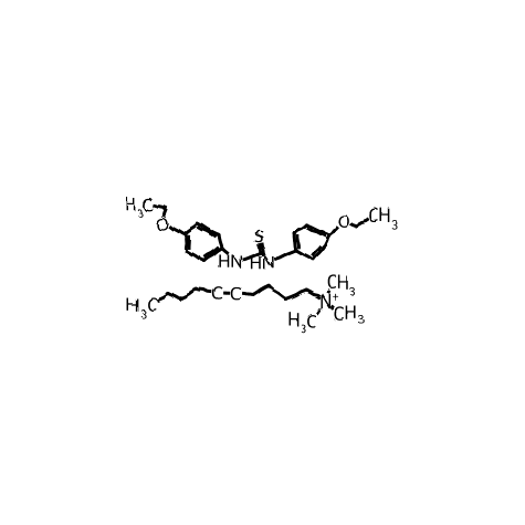 CCCCCCCCCC[N+](C)(C)C.CCOc1ccc(NC(=S)Nc2ccc(OCC)cc2)cc1